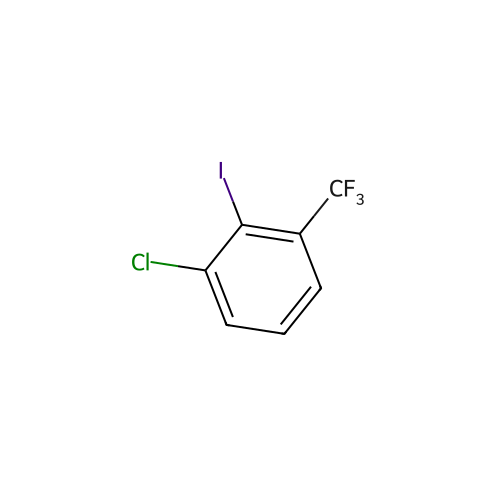 FC(F)(F)c1cccc(Cl)c1I